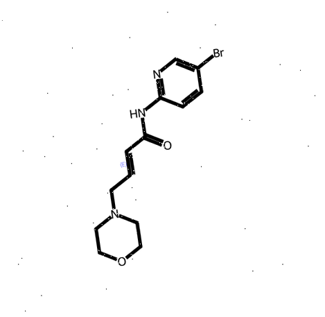 O=C(/C=C/CN1CCOCC1)Nc1ccc(Br)cn1